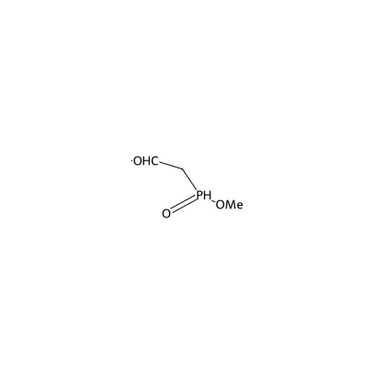 CO[PH](=O)C[C]=O